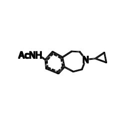 CC(=O)Nc1ccc2c(c1)CCN(C1CC1)CC2